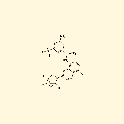 Cc1nnc(N[C@H](N)c2cc(N)cc(C(F)(F)F)n2)c2cc(N3C[C@H]4C[C@@H]3CN4C)ncc12